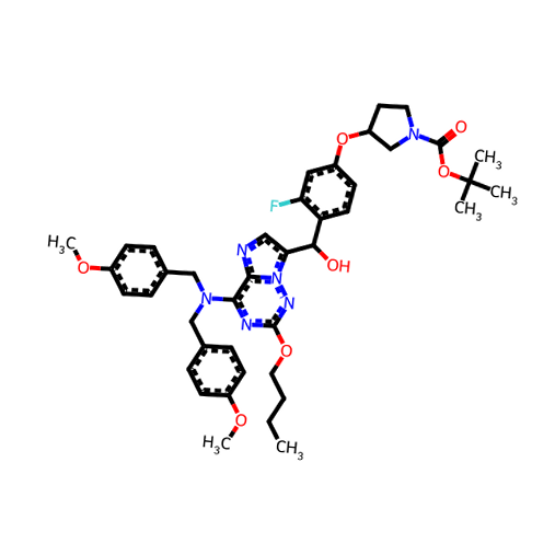 CCCCOc1nc(N(Cc2ccc(OC)cc2)Cc2ccc(OC)cc2)c2ncc(C(O)c3ccc(OC4CCN(C(=O)OC(C)(C)C)C4)cc3F)n2n1